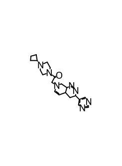 O=C(CN1C=CC2CC(c3cncnc3)N=NC2C1)N1CCN(C2CCC2)CC1